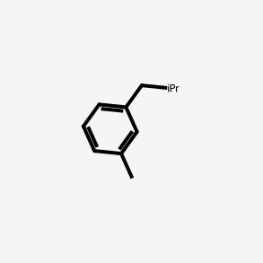 Cc1cccc(CC(C)C)c1